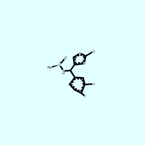 CC(C)(C)[S@@+]([O-])NC(c1ccc(F)c(Cl)c1)c1csc(Cl)n1